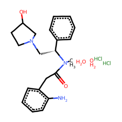 CN(C(=O)Cc1ccccc1N)[C@H](CN1CCC(O)C1)c1ccccc1.Cl.Cl.O.O